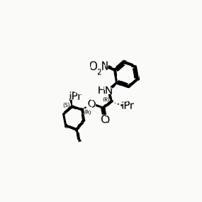 CC1CC[C@@H](C(C)C)[C@H](OC(=O)[C@H](Nc2ccccc2[N+](=O)[O-])C(C)C)C1